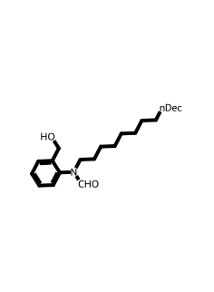 CCCCCCCCCCCCCCCCCCN(C=O)c1ccccc1CO